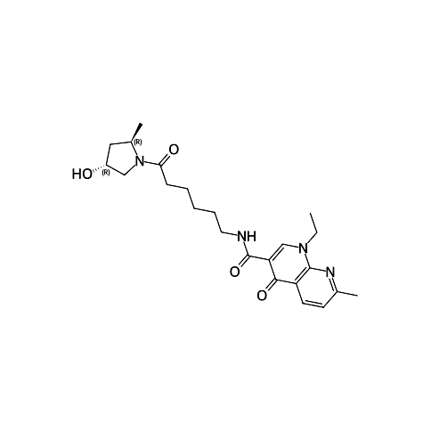 CCn1cc(C(=O)NCCCCCC(=O)N2C[C@H](O)C[C@H]2C)c(=O)c2ccc(C)nc21